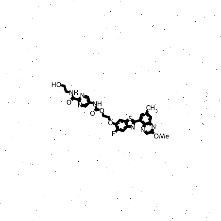 COc1cnc2c(-c3nc4cc(F)c(OCCOC(=O)Nc5cnc(C(=O)NCCO)nc5)cc4s3)cc(C)cc2n1